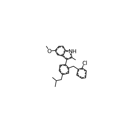 COc1ccc2[nH]c(C)c(-c3ccc(CC(C)C)cc3Cc3ccccc3Cl)c2c1